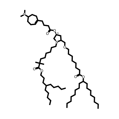 CCCCCCCCC(CCCCCCCC)OC(=O)CCCCCCCOCC1C[C@H](OC(=O)CCCC2=CCCC(N(C)C)CC2)CN1CCCCCCC(C)(C)C(=O)OCCCC(CCCCC)CCCCC